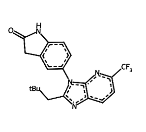 CC(C)(C)Cc1nc2ccc(C(F)(F)F)nc2n1-c1ccc2c(c1)CC(=O)N2